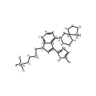 Cc1cnc(-c2cn(COCC[Si](C)(C)C)c3nccc(N4CCCC5(CCCN5)C4)c23)s1